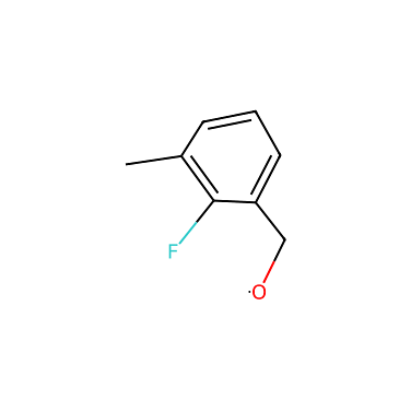 Cc1cccc(C[O])c1F